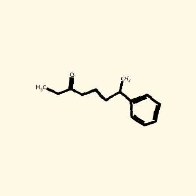 CCC(=O)CCCC(C)c1ccccc1